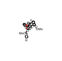 COCOc1cc(-c2ncc3c(N4CC5CCC(C4)N5C(=O)OC(C)(C)C)nc(OC[C@@H](CN4CCNCC4)OC)nc3c2F)c2c(C#C[Si](C(C)C)(C(C)C)C(C)C)c(F)ccc2c1